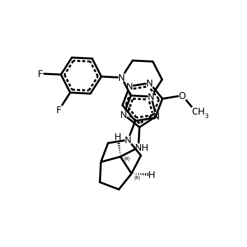 COc1cc(N2CC3CC[C@H](C2)[C@@H]3Nc2nc3n(n2)CCCN3c2ccc(F)c(F)c2)cnn1